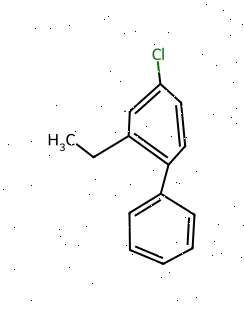 CCc1[c]c(Cl)ccc1-c1ccccc1